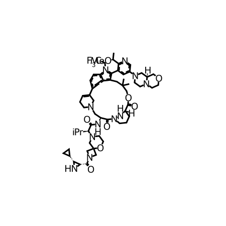 CO[C@@H](C)c1ncc(N2CCN3CCOC[C@@H]3C2)cc1-c1c2c3cc(ccc3n1CC(F)(F)F)C1=CCCN(C1)C[C@H](NC(=O)[C@H](C(C)C)N1CCOC3(CN(C(=O)[C@@H]4N[C@@H]4C4CC4)C3)C1)C(=O)N1CCC[C@H](N1)C(=O)OCC(C)(C)C2